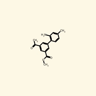 COC(=O)c1cc(C(C)=O)cc(-c2ccc(C)cc2N)c1